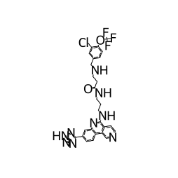 O=C(CCNCc1ccc(OC(F)(F)F)c(Cl)c1)NCCCNc1nc2cc(-c3nn[nH]n3)ccc2c2cnccc12